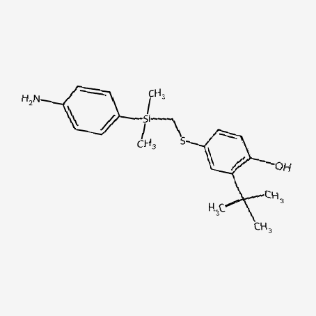 CC(C)(C)c1cc(SC[Si](C)(C)c2ccc(N)cc2)ccc1O